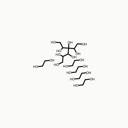 OCC(O)C(O)C(O)(C(O)CO)C(O)CO.OCCO.OCCO.OCCO.OCCO.OCCO